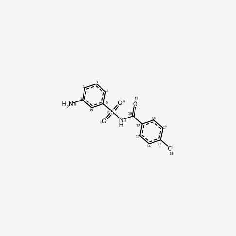 Nc1cccc(S(=O)(=O)NC(=O)c2ccc(Cl)cc2)c1